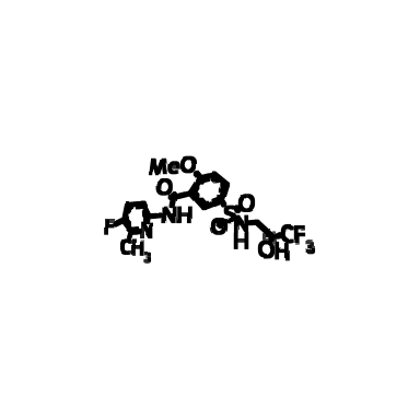 COc1ccc(S(=O)(=O)NC[C@H](O)C(F)(F)F)cc1C(=O)Nc1ccc(F)c(C)n1